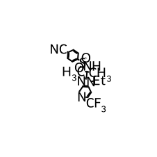 CCn1c(C(C)(C)NS(=O)(=O)c2ccc(C#N)cc2)nc2cnc(C(F)(F)F)cc21